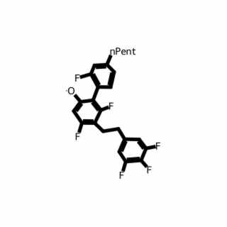 CCCCCc1ccc(-c2c([O])cc(F)c(CCc3cc(F)c(F)c(F)c3)c2F)c(F)c1